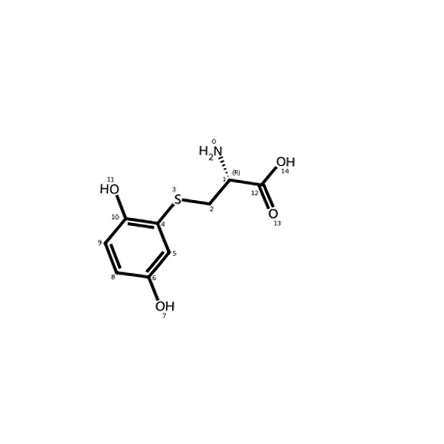 N[C@@H](CSc1cc(O)ccc1O)C(=O)O